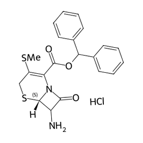 CSC1=C(C(=O)OC(c2ccccc2)c2ccccc2)N2C(=O)C(N)[C@@H]2SC1.Cl